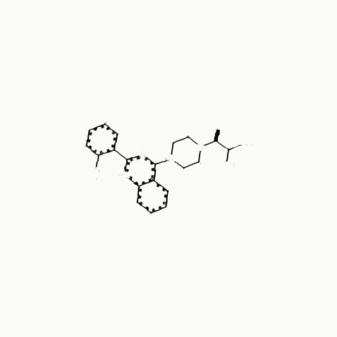 CCCCC(O)C(=O)N1CCN(c2nc(-c3ccccc3O)nc3ccccc23)CC1